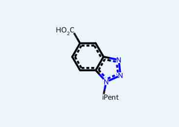 CCCC(C)n1nnc2cc(C(=O)O)ccc21